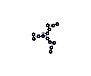 c1ccc(-c2ccc(-n3c4ccccc4c4cc(-c5ccc(N(c6ccc(-c7ccc8c(c7)c7ccccc7n8-c7ccc(-c8ccccc8)cc7)cc6)c6ccc(-c7ccc(-n8c9ccccc9c9ccccc98)cc7)c7nsnc67)cc5)ccc43)cc2)cc1